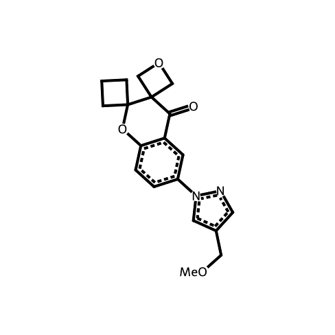 COCc1cnn(-c2ccc3c(c2)C(=O)C2(COC2)C2(CCC2)O3)c1